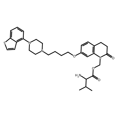 CC(C)C(N)C(=O)OCN1C(=O)CCc2ccc(OCCCCN3CCN(c4cccc5sccc45)CC3)cc21